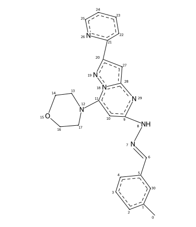 Cc1cccc(C=NNc2cc(N3CCOCC3)n3nc(-c4ccccn4)cc3n2)c1